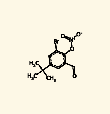 CC(C)(C)c1cc(Br)c(O[N+](=O)[O-])c(C=O)c1